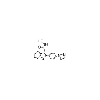 O=C(CC1c2ccccc2SN1c1ccc(-n2cncn2)cc1)NO